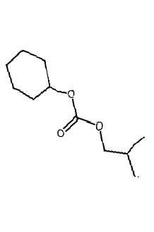 [CH2]C(C)COC(=O)OC1CCCCC1